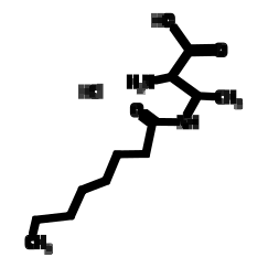 CCCCCCCC(=O)NC(C)C(N)C(=O)O.Cl